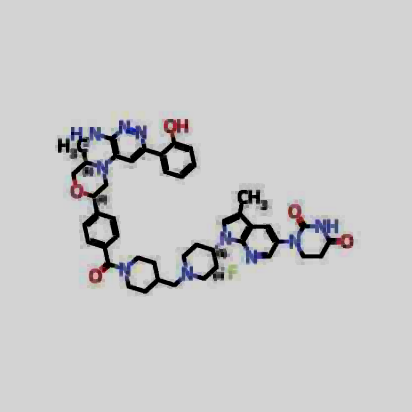 Cc1cn([C@H]2CCN(CC3CCN(C(=O)c4ccc([C@@H]5CN(c6cc(-c7ccccc7O)nnc6N)[C@H](C)CO5)cc4)CC3)C[C@H]2F)c2ncc(N3CCC(=O)NC3=O)cc12